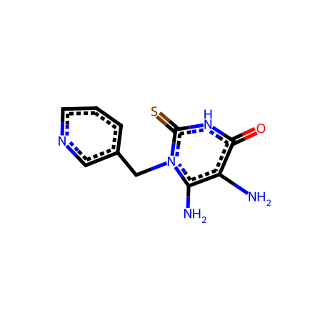 Nc1c(N)n(Cc2cccnc2)c(=S)[nH]c1=O